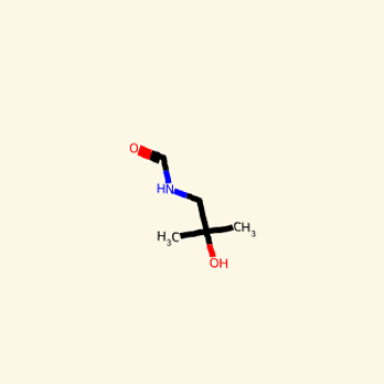 CC(C)(O)CNC=O